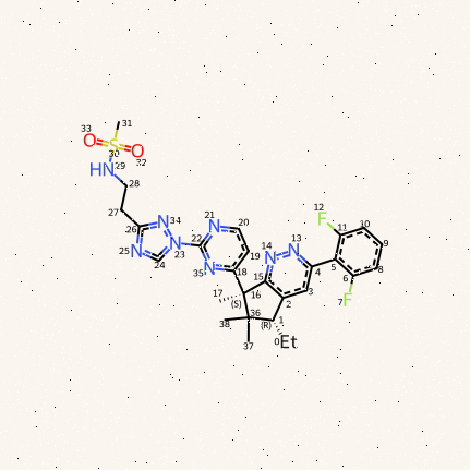 CC[C@H]1c2cc(-c3c(F)cccc3F)nnc2[C@](C)(c2ccnc(-n3cnc(CCNS(C)(=O)=O)n3)n2)C1(C)C